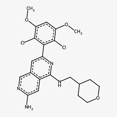 COc1cc(OC)c(Cl)c(-c2cc3cnc(N)cc3c(NCC3CCOCC3)n2)c1Cl